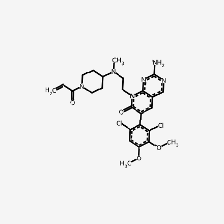 C=CC(=O)N1CCC(N(C)CCn2c(=O)c(-c3c(Cl)cc(OC)c(OC)c3Cl)cc3cnc(N)nc32)CC1